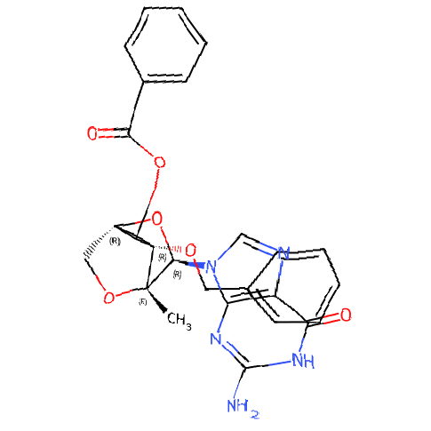 C[C@]12OC[C@@]3(O[C@H]1n1cnc4c(=O)[nH]c(N)nc41)C(OC(=O)c1ccccc1)[C@]23OCc1ccccc1